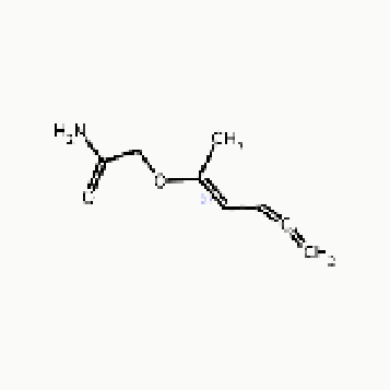 C=C=C/C=C(\C)OCC(N)=O